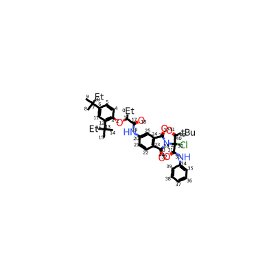 CCC(Oc1ccc(C(C)(C)CC)cc1C(C)(C)CC)C(=O)Nc1ccc2c(c1)C(=O)N(C(Cl)(C(=O)Nc1ccccc1)C(=O)C(C)(C)C)C2=O